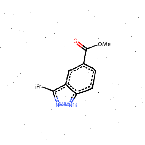 COC(=O)c1ccc2[nH]nc(C(C)C)c2c1